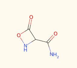 NC(=O)C1NOC1=O